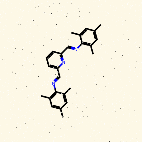 Cc1cc(C)c(N=Cc2cccc(C=Nc3c(C)cc(C)cc3C)n2)c(C)c1